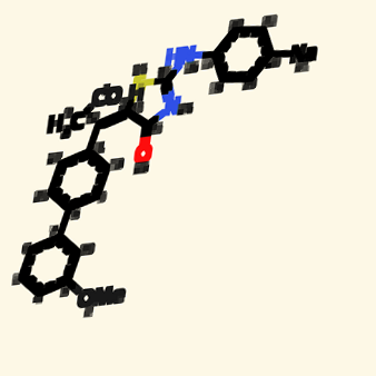 CC(=O)O.COc1cccc(-c2ccc(C=C3SC(Nc4cc[c]([Na])cc4)=NC3=O)cc2)c1